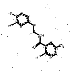 N#Cc1cnc(F)c(C(=O)NCCc2ccc(F)c(F)c2)c1